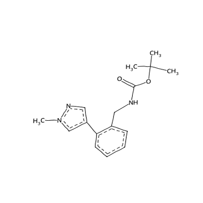 Cn1cc(-c2ccccc2CNC(=O)OC(C)(C)C)cn1